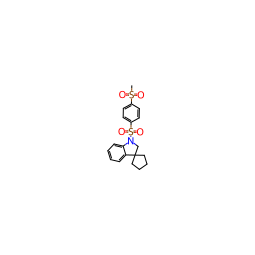 CS(=O)(=O)c1ccc(S(=O)(=O)N2CC3(CCCC3)c3ccccc32)cc1